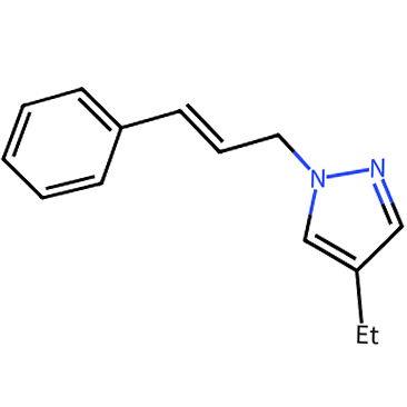 CCc1cnn(C/C=C/c2ccccc2)c1